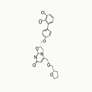 O=c1cc(COCC2CCCO2)n2c(n1)O[C@H](COc1ccc(-c3cccc(Cl)c3Cl)cc1)C2